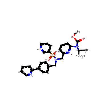 CC(C)(C)OC(=O)N(c1cccc(CN(Cc2ccc(-c3ccccn3)cc2)S(=O)(=O)c2cccnc2)n1)C(C(=O)O)C(C)(C)C